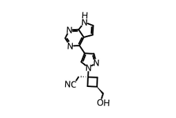 N#CC[C@]1(n2cc(-c3ncnc4[nH]ccc34)cn2)C[C@@H](CO)C1